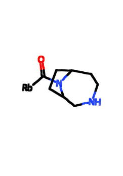 O=[C]([Rb])N1C2CCNCC1CC2